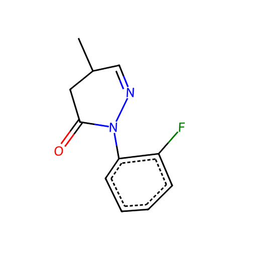 CC1C=NN(c2ccccc2F)C(=O)C1